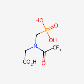 O=C(O)CN(CP(=O)(O)O)C(=O)C(F)(F)F